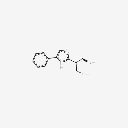 CCC(C=N)c1ncc(-c2ccccc2)[nH]1